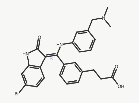 CN(C)Cc1cccc(N/C(=C2\C(=O)Nc3cc(Br)ccc32)c2cccc(CCC(=O)O)c2)c1